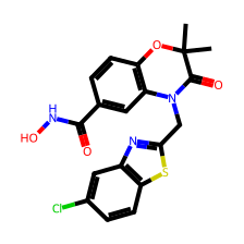 CC1(C)Oc2ccc(C(=O)NO)cc2N(Cc2nc3cc(Cl)ccc3s2)C1=O